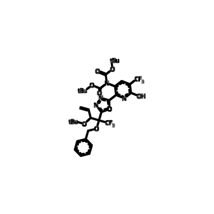 C=CC(OC(C)(C)C)C(OCc1ccccc1)(c1nnc(-c2nc(O)c(C(F)(F)F)cc2N(C(=O)OC(C)(C)C)C(=O)OC(C)(C)C)o1)C(F)(F)F